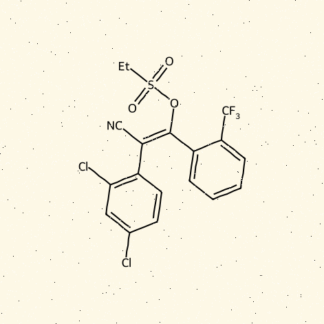 CCS(=O)(=O)O/C(=C(\C#N)c1ccc(Cl)cc1Cl)c1ccccc1C(F)(F)F